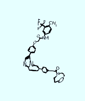 Cc1ccc(NC(=O)COc2ccc(-c3cnc4ccc(-c5ccc(C(=O)N6CCOCC6)cc5)cn34)cc2)cc1C(F)(F)F